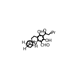 CC(C)CC(=O)c1c(O)c(C=O)c2c(c1O)CC[C@@]1(CC[C@@H]3C[C@H]1C3(C)C)O2